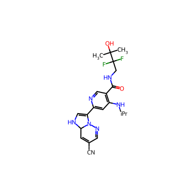 CC(C)Nc1cc(C2=CNC3C=C(C#N)C=NN23)ncc1C(=O)NCC(F)(F)C(C)(C)O